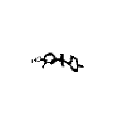 Cc1ccc(C(C)(C)c2ccc(O)c(C)c2)cc1